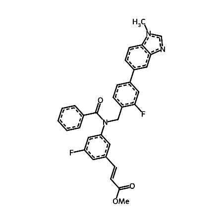 COC(=O)/C=C/c1cc(F)cc(N(Cc2ccc(-c3ccc4c(c3)ncn4C)cc2F)C(=O)c2ccccc2)c1